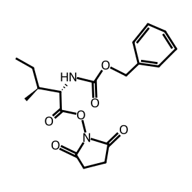 CC[C@H](C)[C@H](NC(=O)OCc1ccccc1)C(=O)ON1C(=O)CCC1=O